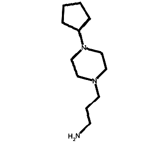 NCCCN1CCN(C2CCCC2)CC1